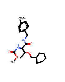 COc1ccc(CNC(=O)C(NC(=O)OC(C)(C)C)C(C)OCC2CCCCC2)cc1